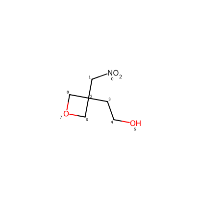 O=[N+]([O-])CC1(CCO)COC1